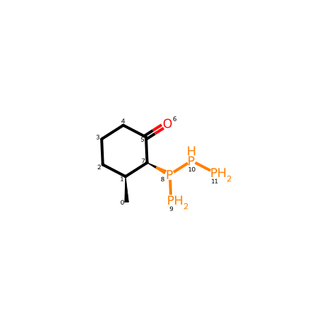 C[C@H]1CCCC(=O)[C@H]1P(P)PP